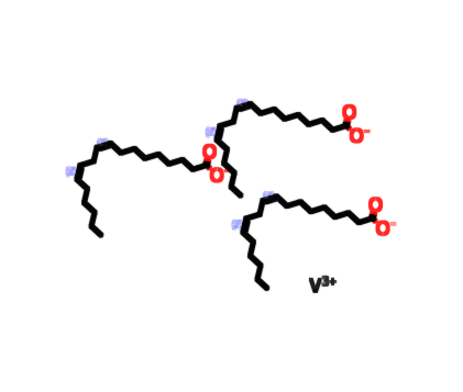 CCCCC/C=C\C/C=C\CCCCCCCC(=O)[O-].CCCCC/C=C\C/C=C\CCCCCCCC(=O)[O-].CCCCC/C=C\C/C=C\CCCCCCCC(=O)[O-].[V+3]